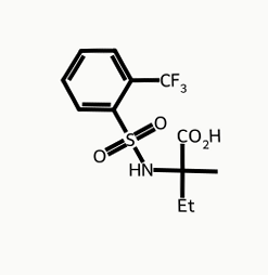 CCC(C)(NS(=O)(=O)c1ccccc1C(F)(F)F)C(=O)O